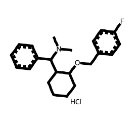 CN(C)C(c1ccccc1)C1CCCCC1OCc1ccc(F)cc1.Cl